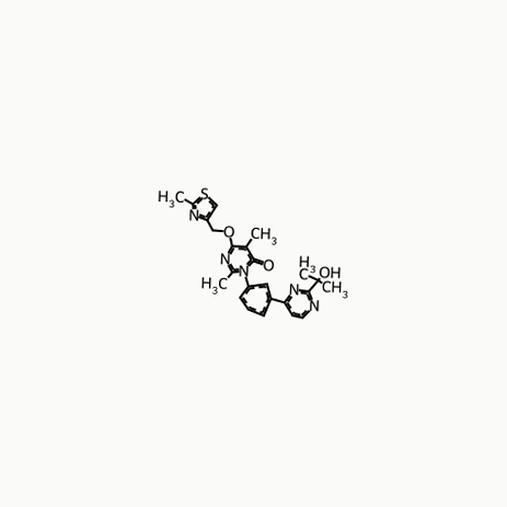 Cc1nc(COc2nc(C)n(-c3cccc(-c4ccnc(C(C)(C)O)n4)c3)c(=O)c2C)cs1